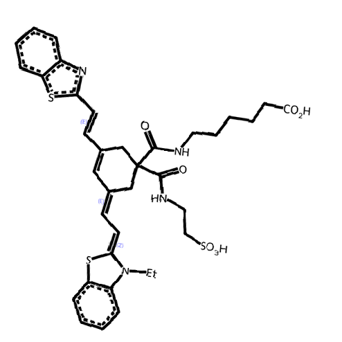 CCN1/C(=C/C=C2C=C(/C=C/c3nc4ccccc4s3)CC(C(=O)NCCCCCC(=O)O)(C(=O)NCCS(=O)(=O)O)C/2)Sc2ccccc21